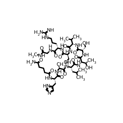 CNC(=O)CNC(=O)[C@H](CCCNC(=N)N)NC(=O)[C@H](CO)NC(=O)[C@@H](NC(=O)[C@H](CO)NC(=O)[C@@H](NC(=O)[C@H](CC(C)C)NC(=O)[C@H](C)NC(=O)[C@H](Cc1cnc[nH]1)NC(=O)CCCC(N)=O)[C@@H](C)O)C(C)C